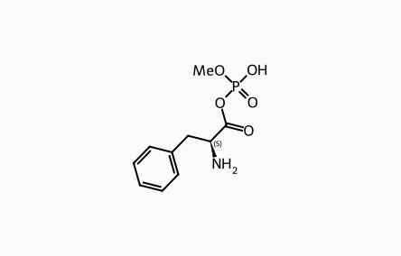 COP(=O)(O)OC(=O)[C@@H](N)Cc1ccccc1